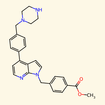 COC(=O)c1ccc(Cn2ccc3c(-c4ccc(CN5CCNCC5)cc4)ccnc32)cc1